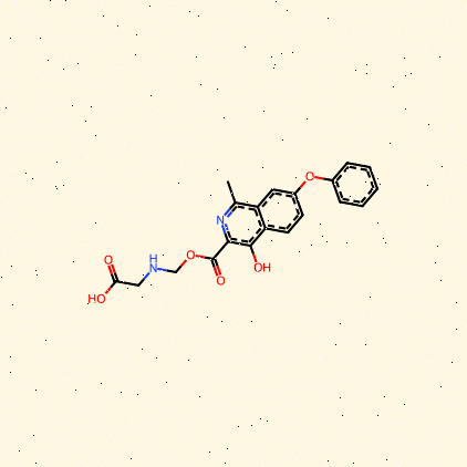 Cc1nc(C(=O)OCNCC(=O)O)c(O)c2ccc(Oc3ccccc3)cc12